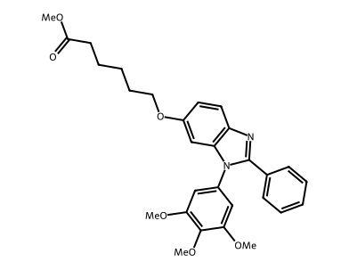 COC(=O)CCCCCOc1ccc2nc(-c3ccccc3)n(-c3cc(OC)c(OC)c(OC)c3)c2c1